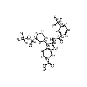 COC(=O)N1C=Cc2c(nc(NC(=O)c3cccc(C(F)(F)F)c3)n2C2CCCN(C(=O)OC(C)(C)C)C2)C1